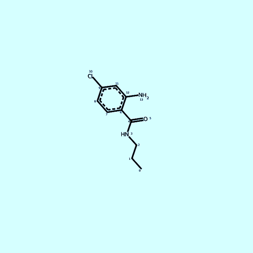 CCCNC(=O)c1ccc(Cl)cc1N